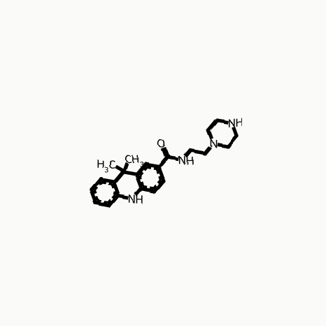 CC1(C)c2ccccc2Nc2ccc(C(=O)NCCN3CCNCC3)cc21